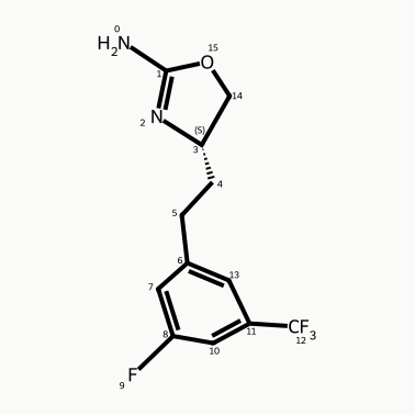 NC1=N[C@@H](CCc2cc(F)cc(C(F)(F)F)c2)CO1